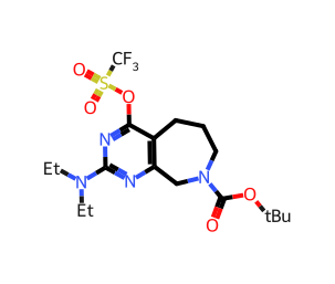 CCN(CC)c1nc2c(c(OS(=O)(=O)C(F)(F)F)n1)CCCN(C(=O)OC(C)(C)C)C2